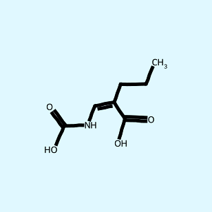 CCCC(=CNC(=O)O)C(=O)O